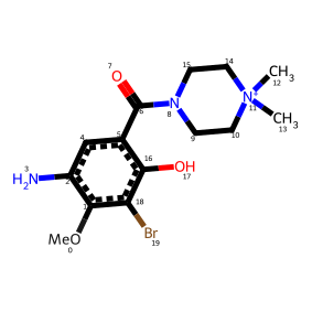 COc1c(N)cc(C(=O)N2CC[N+](C)(C)CC2)c(O)c1Br